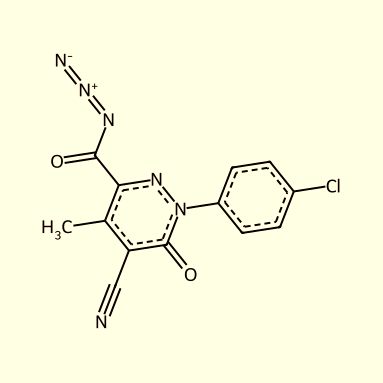 Cc1c(C(=O)N=[N+]=[N-])nn(-c2ccc(Cl)cc2)c(=O)c1C#N